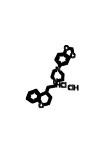 Cl.Cl.c1ccc2c(c1)OCCC2CCN1CCN(c2ccc3c(c2)OCO3)CC1